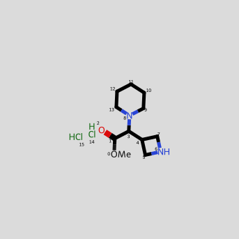 COC(=O)C(C1CNC1)N1CCCCC1.Cl.Cl